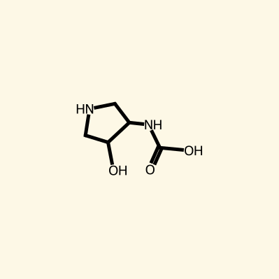 O=C(O)NC1CNCC1O